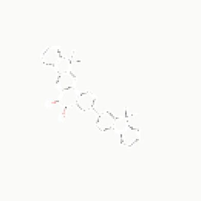 CC1(C)c2ccccc2-c2ccc(-c3ccc4c(c3)C(=O)C(=O)c3cc5c(cc3-4)C(C)(C)c3ccccc3-5)cc21